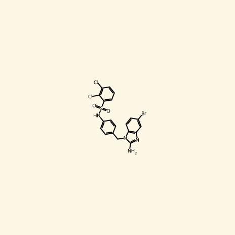 Nc1nc2cc(Br)ccc2n1Cc1ccc(NS(=O)(=O)c2cccc(Cl)c2Cl)cc1